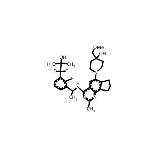 COCC1(O)CCN(c2cc3c(NC(C)c4cccc(C(F)(F)C(C)(C)O)c4F)nc(C)nc3c3c2CCC3)CC1